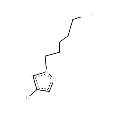 CCOC(=O)CCCCCn1cc(N)cn1